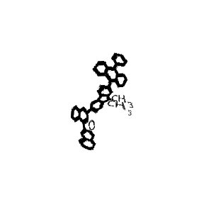 CC1(C)c2ccc(-c3cc4ccccc4c4c3oc3cc5ccccc5cc34)cc2-c2ccc(-c3c4ccccc4c(-c4ccccc4)c4ccccc34)cc21